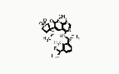 COC1(c2cc3c(N[C@H](C)c4cccc(C(C)F)c4C)ncnc3n(C)c2=O)CCS(=O)(=O)C1